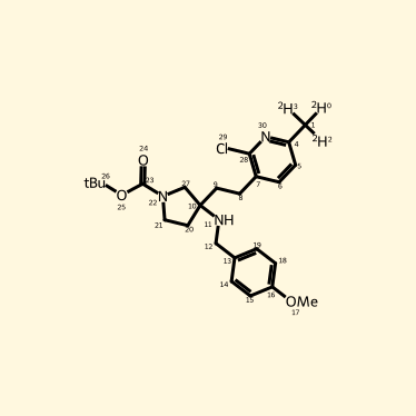 [2H]C([2H])([2H])c1ccc(CCC2(NCc3ccc(OC)cc3)CCN(C(=O)OC(C)(C)C)C2)c(Cl)n1